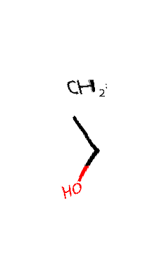 CCO.[CH2]